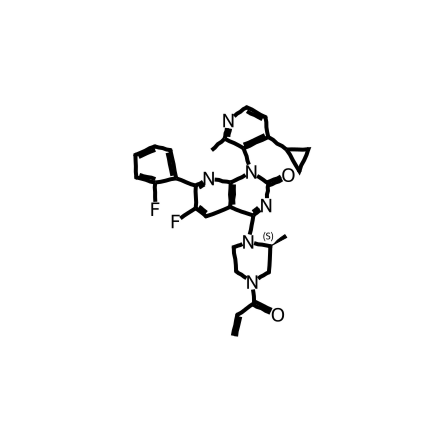 C=CC(=O)N1CCN(c2nc(=O)n(-c3c(C4CC4)ccnc3C)c3nc(-c4ccccc4F)c(F)cc23)[C@@H](C)C1